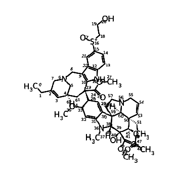 CCC1=C[C@H]2CN(C1)Cc1c([nH]c3ccc([S+]([O-])CCO)cc13)[C@@](C(=O)OC)(C1C=C3C(=CC1OC)N(C)[C@H]1[C@@](O)(C(=O)OC)[C@H](OC(C)=O)[C@]4(CC)C=CCN5CC[C@]31[C@@H]54)C2